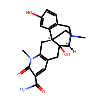 CN1C2c3ccc(O)cc3[C@@]34Cc5c(cc(C(N)=O)c(=O)n5C)CC3(O)[C@H]1C2C4